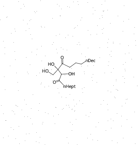 CCCCCCCCCCCCCC(=O)C(O)(CO)C(O)C(=O)CCCCCCC